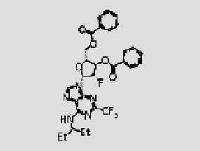 CCC(CC)Nc1nc(C(F)(F)F)nc2c1ncn2[C@@H]1O[C@H](COC(=O)c2ccccc2)[C@@H](OC(=O)c2ccccc2)[C@@H]1F